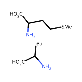 CCC(C)C(N)C(=O)O.CSCCC(N)C(=O)O